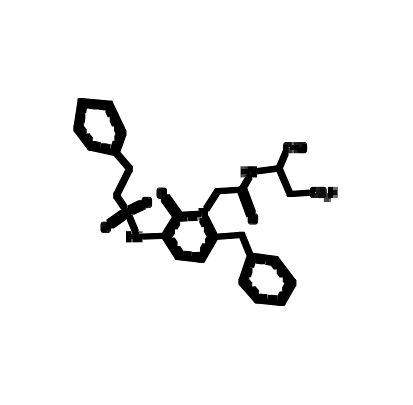 O=CC(CC(=O)O)NC(=O)Cn1c(Cc2ccccc2)ccc(NS(=O)(=O)CCc2ccccc2)c1=O